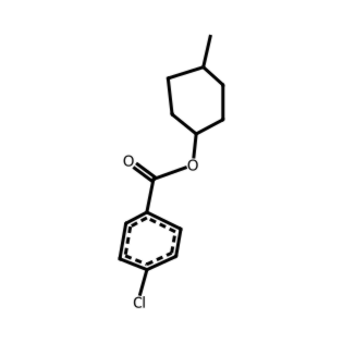 CC1CCC(OC(=O)c2ccc(Cl)cc2)CC1